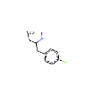 O=C(O)CC(Cc1ccc(F)cc1)NI